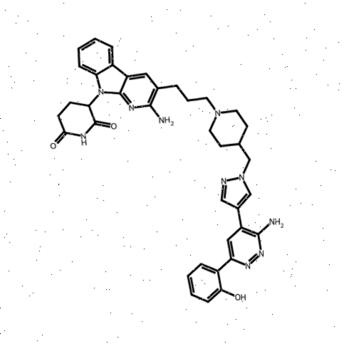 Nc1nc2c(cc1CCCN1CCC(Cn3cc(-c4cc(-c5ccccc5O)nnc4N)cn3)CC1)c1ccccc1n2C1CCC(=O)NC1=O